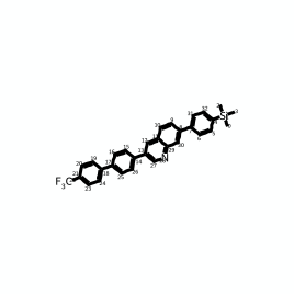 C[Si](C)(C)c1ccc(-c2ccc3cc(-c4ccc(-c5ccc(C(F)(F)F)cc5)cc4)cnc3c2)cc1